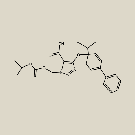 CC(C)OC(=O)OCn1nnc(OC2(C(C)C)C=CC(c3ccccc3)=CC2)c1C(=O)O